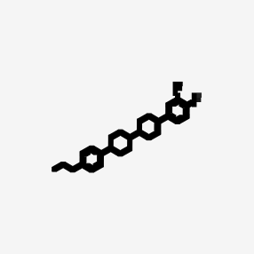 CCCc1ccc(C2CCC(C3CC=C(c4ccc(F)c(F)c4)CC3)CC2)cc1